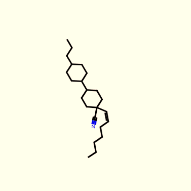 CCCCC/C=C\C1(C#N)CCC(C2CCC(CCC)CC2)CC1